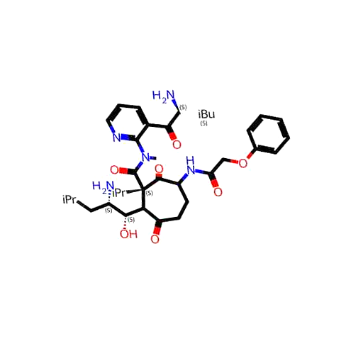 CC[C@H](C)[C@H](N)C(=O)c1cccnc1N(C)C(=O)[C@]1(C(C)C)C(=O)C(NC(=O)COc2ccccc2)CCC(=O)C1[C@H](O)[C@@H](N)CC(C)C